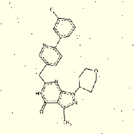 Cc1nn(C2CCOCC2)c2nc(Cc3ccc(-c4cccc(F)c4)nc3)[nH]c(=O)c12